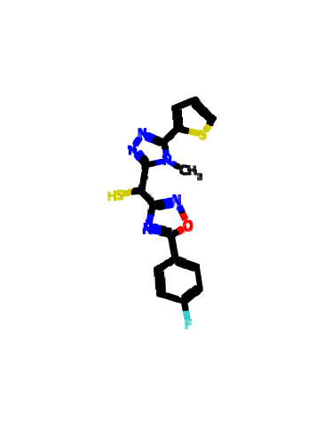 Cn1c(-c2cccs2)nnc1C(S)c1noc(-c2ccc(F)cc2)n1